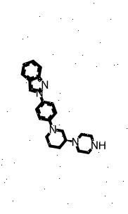 c1ccc2nn(-c3ccc(N4CCC[C@H](N5CCNCC5)C4)cc3)cc2c1